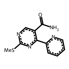 CSc1ncc(C(N)=O)c(-c2ccccn2)n1